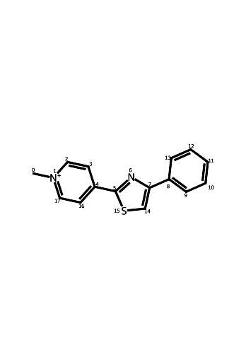 C[n+]1ccc(-c2nc(-c3ccccc3)cs2)cc1